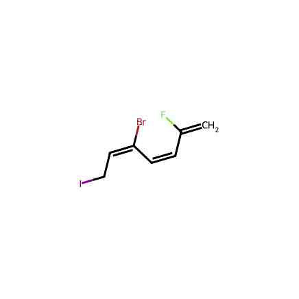 C=C(F)/C=C\C(Br)=C/CI